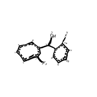 O[C](c1ccccc1F)c1ccccc1F